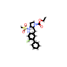 CCOC(=O)N1CCC(NS(C)(=O)=O)C1Cc1ccc(F)c(-c2ccccc2)c1